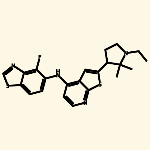 CCN1CCC(c2cc3c(Nc4ccc5scnc5c4F)ccnc3s2)C1(C)C